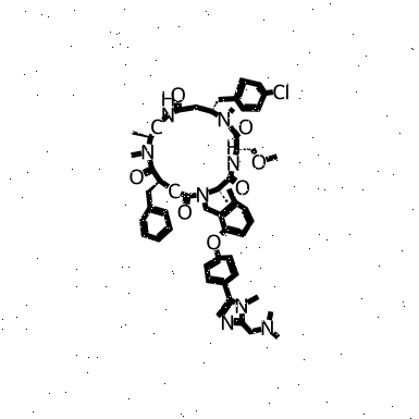 COC[C@@H]1NC(=O)[C@H](C)N(Cc2c(C)cccc2Oc2ccc(-c3cnc(CN(C)C)n3C)cc2)C(=O)C[C@@H](Cc2ccccc2)C(=O)N(C)[C@@H](C)CNC(=O)C[C@H](Cc2ccc(Cl)cc2)N(C)C1=O